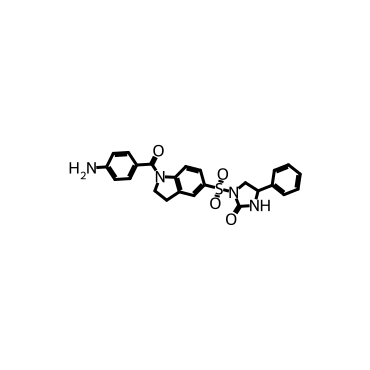 Nc1ccc(C(=O)N2CCc3cc(S(=O)(=O)N4CC(c5ccccc5)NC4=O)ccc32)cc1